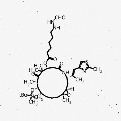 C/C(=C\c1csc(C)n1)[C@@H]1C[C@@H]2O[C@]2(C)CCC[C@H](C)[C@H](O[Si](C)(C)C(C)(C)C)[C@@H](C)C(=O)C(C)(C)[C@@H](OC(=O)CCCCCNNC=O)CC(=O)N1